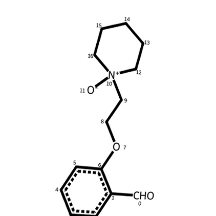 O=Cc1ccccc1OCC[N+]1([O-])CCCCC1